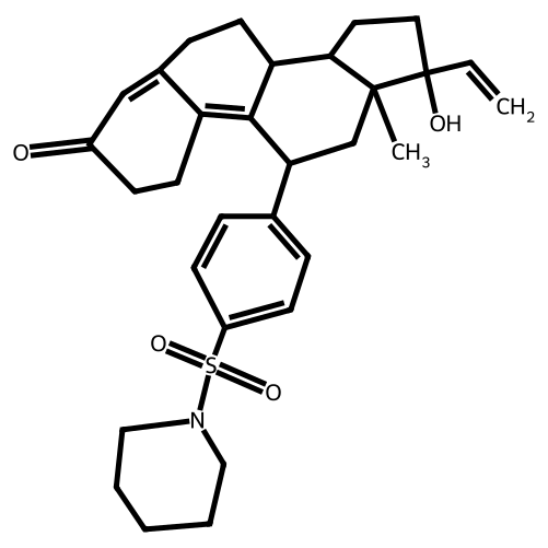 C=CC1(O)CCC2C3CCC4=CC(=O)CCC4=C3C(c3ccc(S(=O)(=O)N4CCCCC4)cc3)CC21C